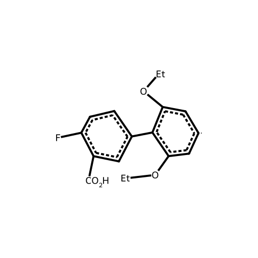 CCOc1c[c]cc(OCC)c1-c1ccc(F)c(C(=O)O)c1